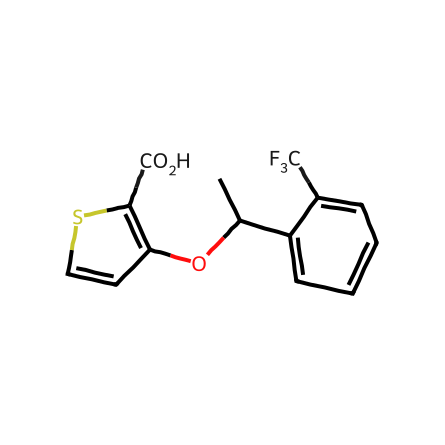 CC(Oc1ccsc1C(=O)O)c1ccccc1C(F)(F)F